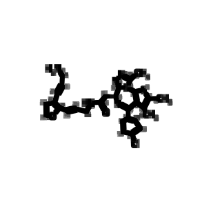 Cc1sc2c(c1C)C(c1ccc(Cl)cc1)=N[C@@H](CC(=O)NCC#Cc1occc1C#CCN)c1nnc(C)n1-2